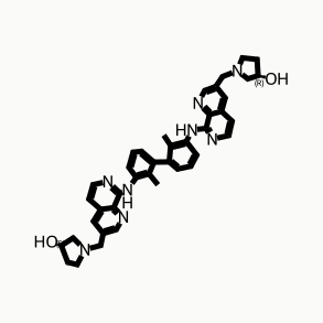 Cc1c(Nc2nccc3cc(CN4CC[C@@H](O)C4)cnc23)cccc1-c1cccc(Nc2nccc3cc(CN4CC[C@@H](O)C4)cnc23)c1C